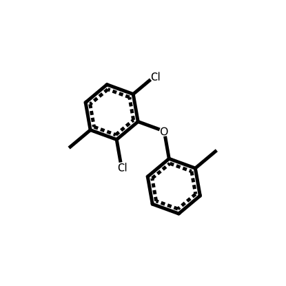 Cc1ccccc1Oc1c(Cl)ccc(C)c1Cl